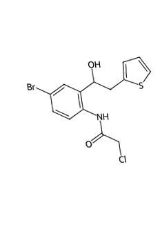 O=C(CCl)Nc1ccc(Br)cc1C(O)Cc1cccs1